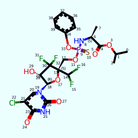 CC(C)OC(=O)[C@H](C)NP(=S)(OC[C@@]1(C(F)F)O[C@@H](n2cc(Cl)c(=O)[nH]c2=O)[C@H](O)C1(F)F)Oc1ccccc1